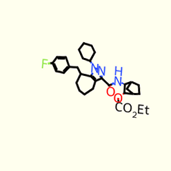 CCOC(=O)O[C@@H]1C2CCC(C2)[C@@H]1NC(=O)c1nn(C2CCCCC2)c2c1CCCCC2Cc1ccc(F)cc1